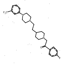 O=C(CN1CCC(CCN2CCN(c3cccc(C(F)(F)F)c3)CC2)CC1)c1ccc(F)cc1